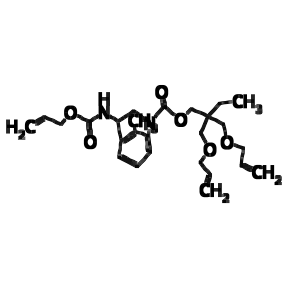 C=CCOCC(CC)(COCC=C)COC(=O)N1CC(NC(=O)OCC=C)c2cccc1c2C